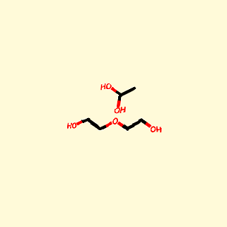 CC(O)O.OCCOCCO